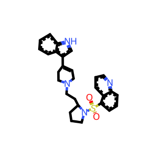 O=S(=O)(c1cccc2ncccc12)N1CCCC1CCN1CC=C(c2c[nH]c3ccccc23)CC1